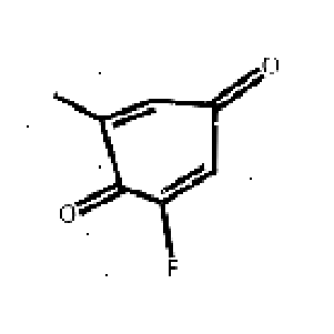 CC1=CC(=O)C=C(F)C1=O